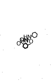 Cc1cccc(C(=O)O)c1NC(=O)NC1CCCCC1